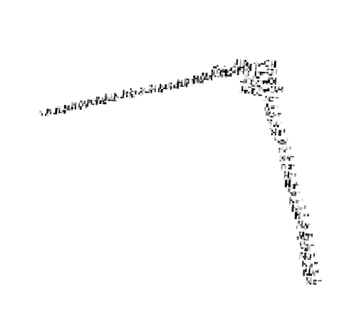 O=C(O)O.O=C(O)O.O=C(O)O.O=C(O)O.O=C(O)O.[Na+].[Na+].[Na+].[Na+].[Na+].[Na+].[Na+].[Na+].[Na+].[Na+].[Na+].[Na+].[Na+].[Na+].[Na+].[Na+].[Na+].[Na+].[Na+].[Na+].[Na+].[Na+].[Na+].[Na+].[Na+].[Na+].[Na+].[Na+].[Na+].[Na+].[Na+].[Na+].[Na+].[Na+].[Na+].[Na+].[Na+].[Na+].[Na+].[Na+].[Na+].[Na+].[Na+].[Na+]